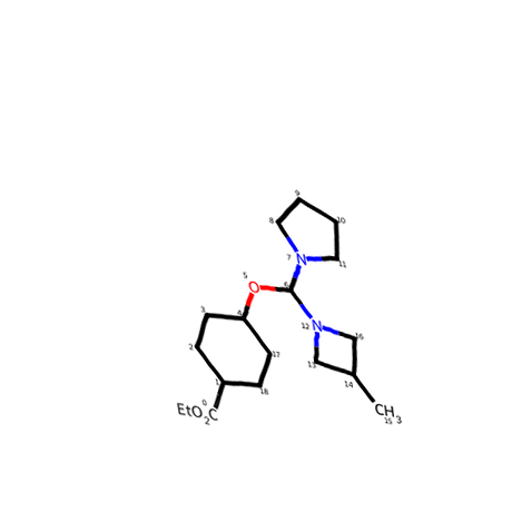 CCOC(=O)C1CCC(OC(N2CCCC2)N2CC(C)C2)CC1